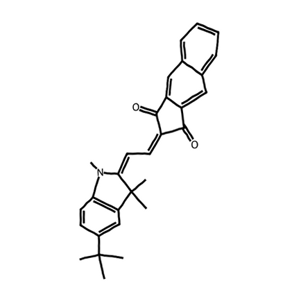 CN1/C(=C/C=C2C(=O)c3cc4ccccc4cc3C2=O)C(C)(C)c2cc(C(C)(C)C)ccc21